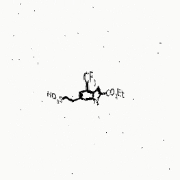 CCOC(=O)c1cc2c(C(F)(F)F)cc(CCS(=O)(=O)O)cc2n1C